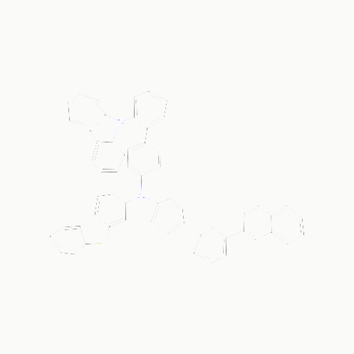 c1cc(-c2ccc(N(c3ccc(-c4ccccc4-n4c5ccccc5c5ccccc54)cc3)c3ccc4c(c3)sc3ccccc34)cc2)cc(-c2ccc3ccccc3c2)c1